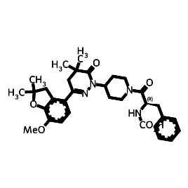 COc1ccc(C2=NN(C3CCN(C(=O)[C@@H](Cc4ccccc4)NC(=O)O)CC3)C(=O)C(C)(C)C2)c2c1OC(C)(C)C2